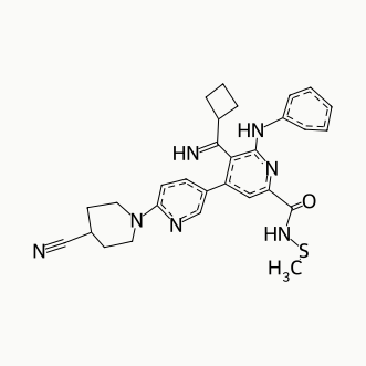 CSNC(=O)c1cc(-c2ccc(N3CCC(C#N)CC3)nc2)c(C(=N)C2CCC2)c(Nc2ccccc2)n1